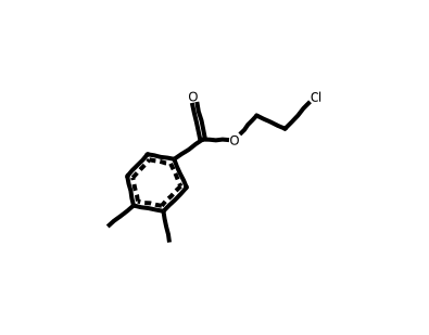 Cc1ccc(C(=O)OCCCl)cc1C